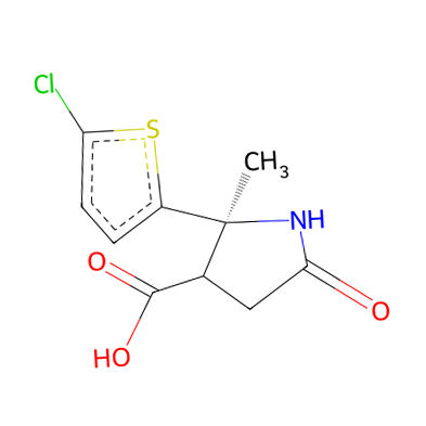 C[C@]1(c2ccc(Cl)s2)NC(=O)CC1C(=O)O